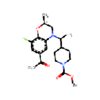 COC(=O)c1cc(F)c2c(c1)N(C(C)C1CCN(C(=O)OC(C)(C)C)CC1)C[C@H](C)O2